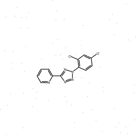 Clc1ccc(-n2nnc(-c3ccccn3)n2)c(Cl)c1